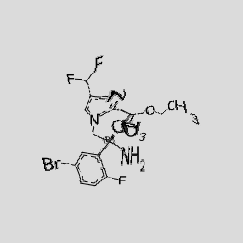 CCOC(=O)c1nc(C(F)F)cn1C[C@](C)(N)c1cc(Br)ccc1F